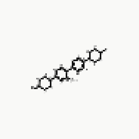 CC1CCC(c2ccc(-c3ccc(C4CCC(C)CC4)cc3F)cc2)CC1